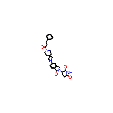 O=C1CCC(N2Cc3cc(N4CC5(CCN(C(=O)CCc6ccccc6)CC5)C4)ccc3C2=O)C(=O)N1